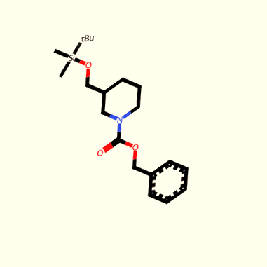 CC(C)(C)[Si](C)(C)OCC1CCCN(C(=O)OCc2ccccc2)C1